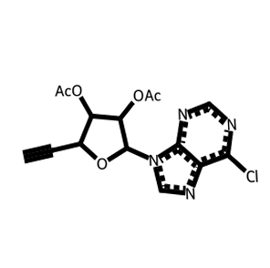 C#CC1OC(n2cnc3c(Cl)ncnc32)C(OC(C)=O)C1OC(C)=O